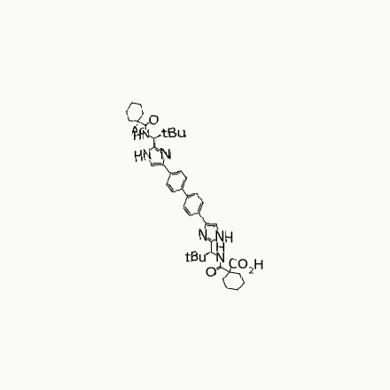 CC(=O)C1(C(=O)N[C@H](c2nc(-c3ccc(-c4ccc(-c5c[nH]c([C@@H](NC(=O)C6(C(=O)O)CCCCC6)C(C)(C)C)n5)cc4)cc3)c[nH]2)C(C)(C)C)CCCCC1